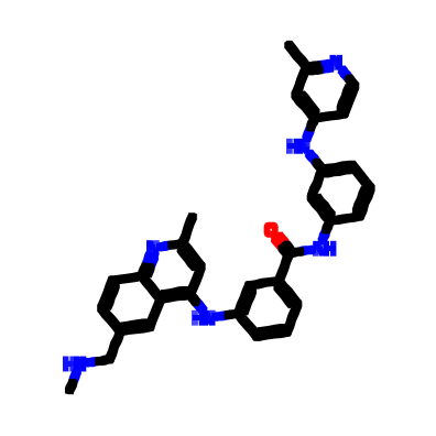 CNCc1ccc2nc(C)cc(Nc3cccc(C(=O)Nc4cccc(Nc5ccnc(C)c5)c4)c3)c2c1